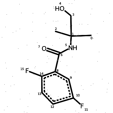 CC(C)(CO)NC(=O)c1cc(F)ccc1F